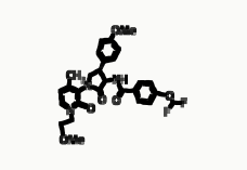 COCCn1ccc(C)c(N2C[C@@H](c3ccc(OC)cc3)C(NC(=O)c3ccc(OC(F)F)cc3)C2=O)c1=O